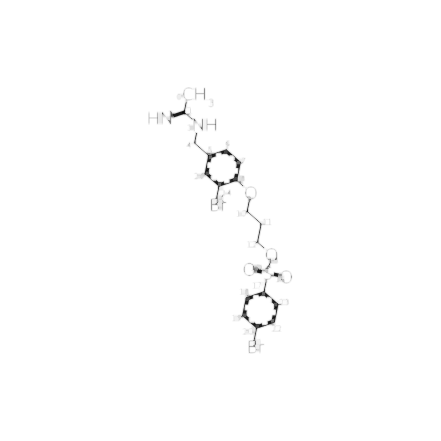 CC(=N)NCc1ccc(OCCCOS(=O)(=O)c2ccc(Br)cc2)c(Br)c1